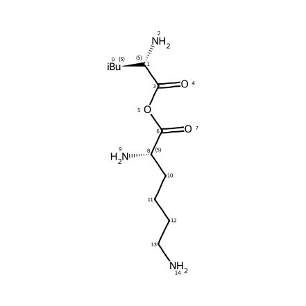 CC[C@H](C)[C@H](N)C(=O)OC(=O)[C@@H](N)CCCCN